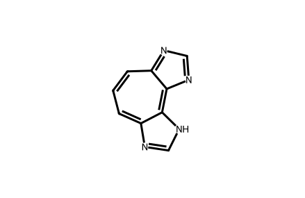 c1cc2ncnc-2c2[nH]cnc2c1